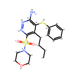 CCCCc1c(S(=O)(=O)N2CCOCC2)nnc(N)c1Sc1ccccc1